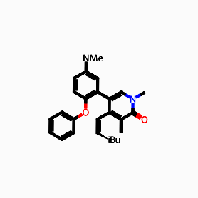 CC[C@H](C)/C=C\c1c(-c2cc(NC)ccc2Oc2ccccc2)cn(C)c(=O)c1C